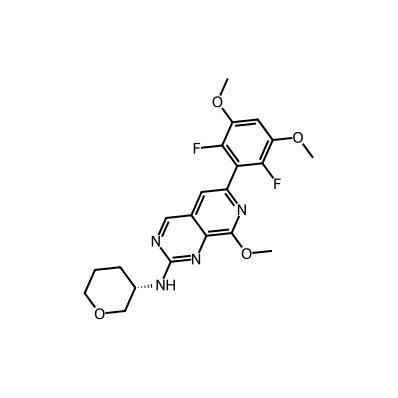 COc1cc(OC)c(F)c(-c2cc3cnc(N[C@H]4CCCOC4)nc3c(OC)n2)c1F